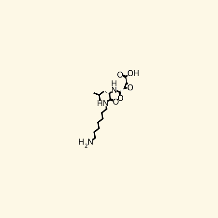 CC(C)C[C@H](NC(=O)[C@H]1O[C@@H]1C(=O)O)C(=O)NCCCCCCCN